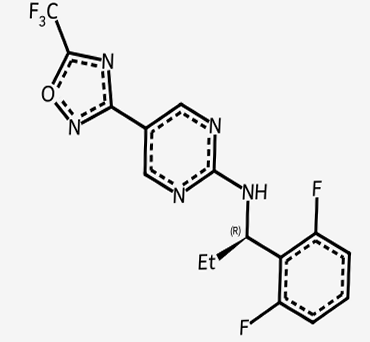 CC[C@@H](Nc1ncc(-c2noc(C(F)(F)F)n2)cn1)c1c(F)cccc1F